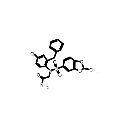 CC1Oc2ccc(S(=O)(=O)N(CC(N)=O)c3ccc(Cl)cc3Cc3ccccc3)cc2O1